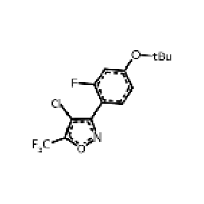 CC(C)(C)Oc1ccc(-c2noc(C(F)(F)F)c2Cl)c(F)c1